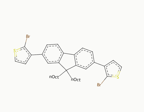 CCCCCCCCC1(CCCCCCCC)c2cc(-c3ccsc3Br)ccc2-c2ccc(-c3ccsc3Br)cc21